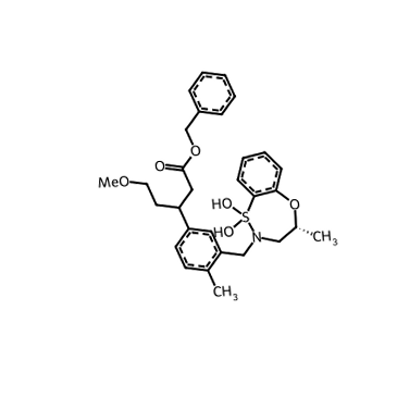 COCCC(CC(=O)OCc1ccccc1)c1ccc(C)c(CN2C[C@@H](C)Oc3ccccc3S2(O)O)c1